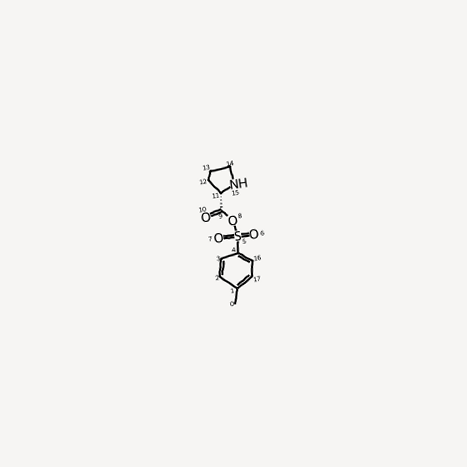 Cc1ccc(S(=O)(=O)OC(=O)[C@@H]2CCCN2)cc1